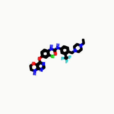 CCN1CCN(Cc2ccc(NC(=O)Nc3ccc(Oc4ncnc5c4OCCN5)cc3Cl)cc2C(F)(F)F)CC1